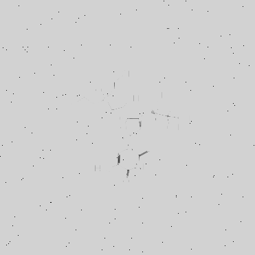 CCOP(=O)(CC(C)[C@H]1O[C@@H](n2cc(C)c(=O)[nH]c2=O)CC1O[Si](C)(C)C(C)(C)C)OCC